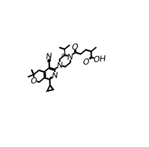 CC(CCC(=O)N1CCN(c2nc(C3CC3)c3c(c2C#N)CC(C)(C)OC3)C[C@H]1C(C)C)C(=O)O